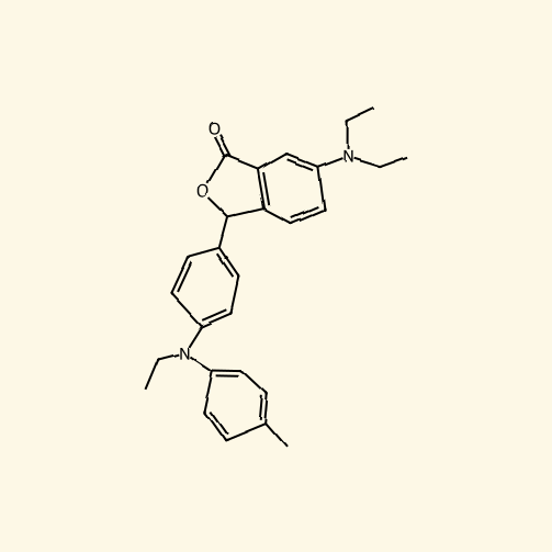 CCN(CC)c1ccc2c(c1)C(=O)OC2c1ccc(N(CC)c2ccc(C)cc2)cc1